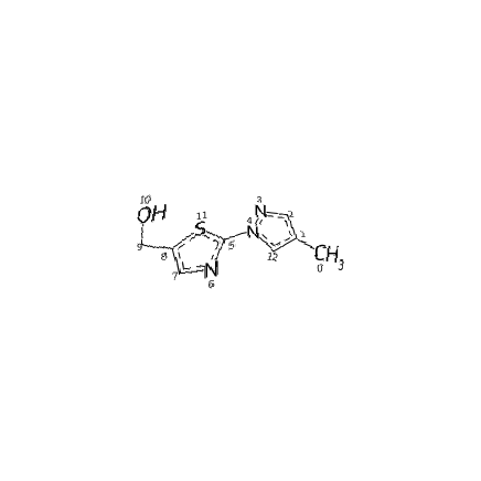 Cc1cnn(-c2ncc(CO)s2)c1